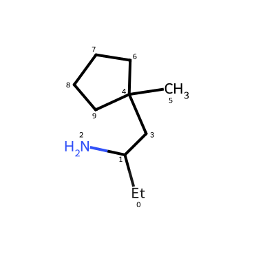 CCC(N)CC1(C)CCCC1